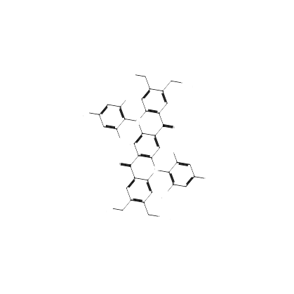 CCc1cc2c(=O)c3cc4c(cc3n(-c3c(C)cc(C)cc3C)c2cc1CC)c(=O)c1cc(CC)c(CC)cc1n4-c1c(C)cc(C)cc1C